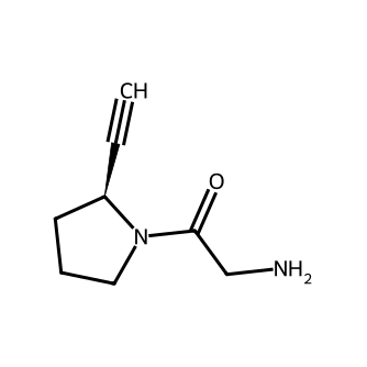 C#C[C@@H]1CCCN1C(=O)CN